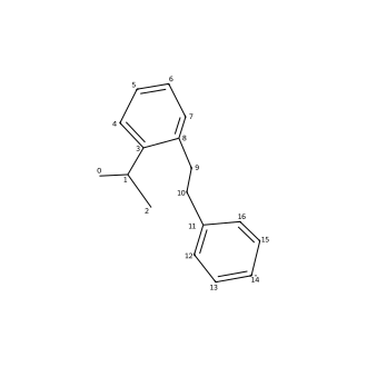 CC(C)c1ccccc1CCc1cc[c]cc1